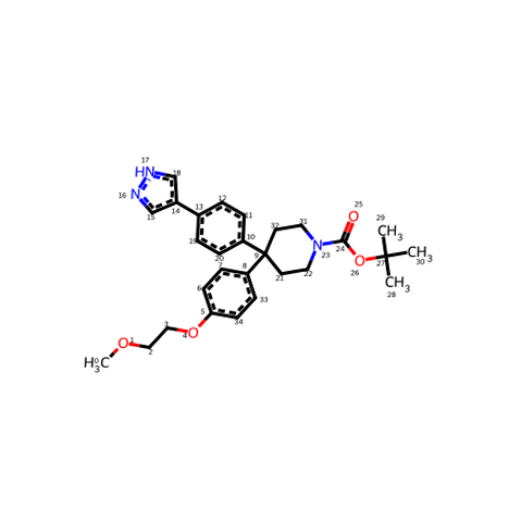 COCCOc1ccc(C2(c3ccc(-c4cn[nH]c4)cc3)CCN(C(=O)OC(C)(C)C)CC2)cc1